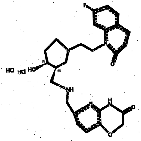 Cl.Cl.O=C1COc2ccc(CNC[C@@H]3CN(CCn4c(=O)ccc5ccc(F)cc54)CC[C@@H]3O)nc2N1